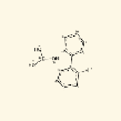 Ic1ccccc1-c1ccccc1.OB(O)O